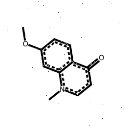 COc1ccc2c(=O)[c]cn(C)c2c1